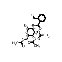 CC(=O)OC[C@H]1O[C@@H](Br)[C@H](NC(=O)c2ccccc2C=O)[C@@H](OC(C)=O)[C@@H]1OC(C)=O